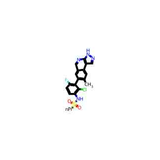 CCCS(=O)(=O)Nc1ccc(F)c(-c2cc3cnc4[nH]ncc4c3cc2C)c1Cl